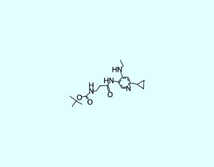 CCNc1cc(C2CC2)ncc1NC(=O)CCNC(=O)OC(C)(C)C